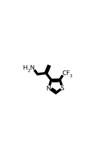 C=C(CN)c1ncsc1C(F)(F)F